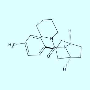 Cc1ccc([C@H]2C[C@H]3CC[C@@H](C2)N3C(=O)N2CCCCC2)cc1